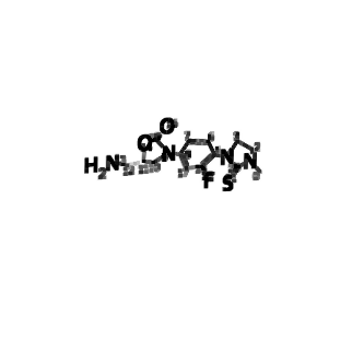 CN1CCN(c2ccc(N3C[C@H](CN)OC3=O)cc2F)C1=S